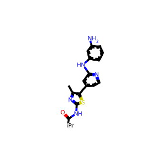 Cc1nc(NC(=O)C(C)C)sc1-c1ccnc(Nc2cccc(N)c2)c1